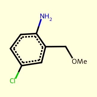 COCc1cc(Cl)ccc1N